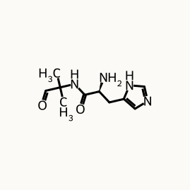 CC(C)(C=O)NC(=O)[C@@H](N)Cc1cnc[nH]1